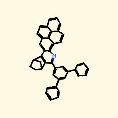 c1ccc(-c2cc(-c3ccccc3)cc(-c3nc4c(cc5ccc6cccc7ccc4c5c67)c4c3C3CCC4C3)c2)cc1